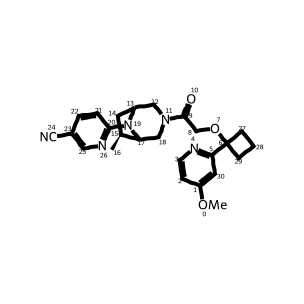 COc1ccnc(C2(OCC(=O)N3CC4C[C@H](C)C(C3)N4c3ccc(C#N)cn3)CCC2)c1